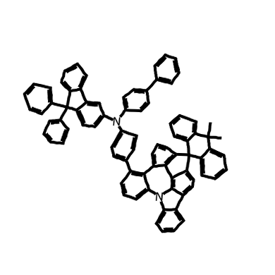 CC1(C)c2ccccc2C2(c3ccccc31)c1cccc3c1-c1c2ccc2c4ccccc4n(c12)-c1cccc(-c2ccc(N(c4ccc(-c5ccccc5)cc4)c4ccc5c(c4)-c4ccccc4C5(c4ccccc4)c4ccccc4)cc2)c1-3